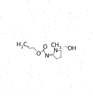 C=CCOC(=O)/N=C1/CC[C@@H](CO)N1C